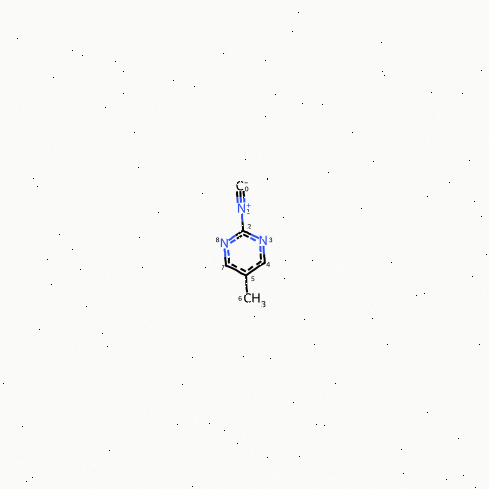 [C-]#[N+]c1ncc(C)cn1